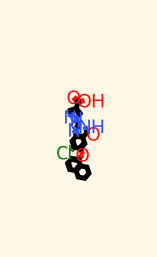 O=C(O)c1cnn(-c2nc3cc(Cl)c(Oc4cccc5c4CCCC5)cc3c(=O)[nH]2)c1